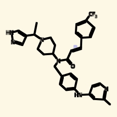 Cc1cc(Nc2ccc(CN(C(=O)/C=C/c3ccc(C(F)(F)F)cc3)C3CCN(C(C)c4cn[nH]c4)CC3)cc2)ccn1